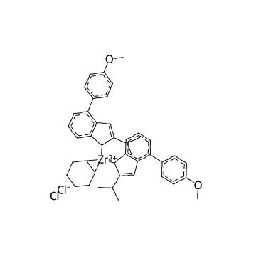 COc1ccc(-c2cccc3c2C=C(C(C)C)[CH]3[Zr+2]2([CH]3C(C(C)C)=Cc4c(-c5ccc(OC)cc5)cccc43)[CH]3CCCC[CH]32)cc1.[Cl-].[Cl-]